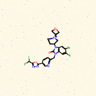 O=c1n(Cc2ccc(-c3nnc(C(F)F)o3)cn2)c2cc(F)c(Br)cc2n1C1CCN(C2COC2)C1